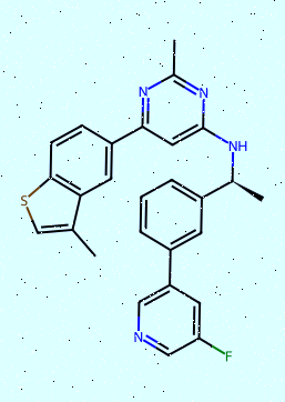 Cc1nc(N[C@@H](C)c2cccc(-c3cncc(F)c3)c2)cc(-c2ccc3scc(C)c3c2)n1